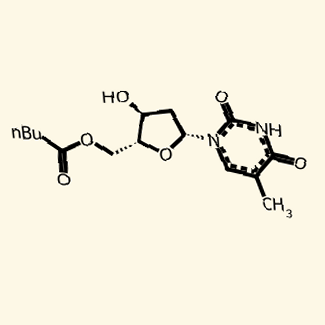 CCCCC(=O)OC[C@H]1O[C@@H](n2cc(C)c(=O)[nH]c2=O)C[C@@H]1O